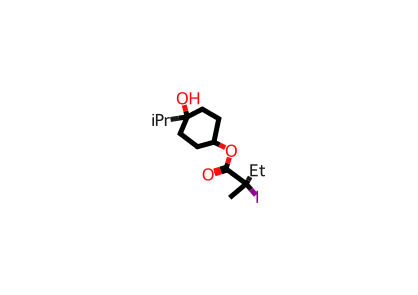 CCC(C)(I)C(=O)OC1CCC(O)(C(C)C)CC1